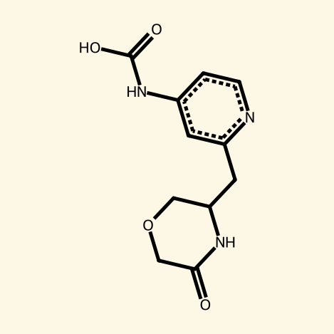 O=C(O)Nc1ccnc(CC2COCC(=O)N2)c1